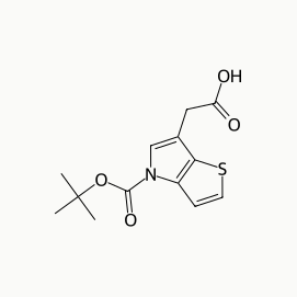 CC(C)(C)OC(=O)n1cc(CC(=O)O)c2sccc21